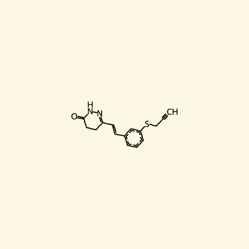 C#CCSc1cccc(C=CC2=NNC(=O)CC2)c1